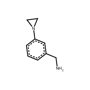 NCc1cccc(N2CC2)c1